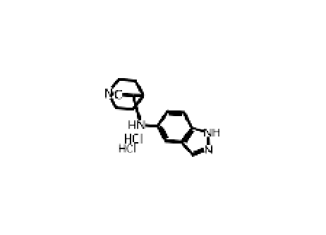 Cl.Cl.c1cc2[nH]ncc2cc1NC1CN2CCC1CC2